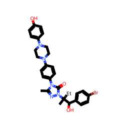 CCC(C)(C(O)c1ccc(Br)cc1)n1nc(C)n(-c2ccc(N3CCN(c4ccc(O)cc4)CC3)cc2)c1=O